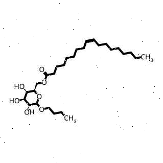 CCCCCCCC/C=C\CCCCCCCC(=O)OC[C@H]1OC(OCCCC)[C@H](O)[C@@H](O)[C@@H]1O